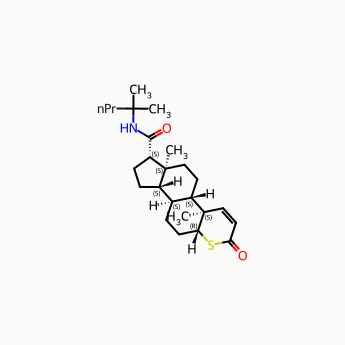 CCCC(C)(C)NC(=O)[C@H]1CC[C@H]2[C@@H]3CC[C@H]4SC(=O)C=C[C@]4(C)[C@H]3CC[C@]12C